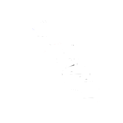 CCCC1(OC(=O)c2cccnc2)CC[C@H]2[C@@H]3CCC4=CC(=O)CC[C@]4(C)[C@@H]3CC[C@@]21C